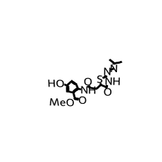 COC(=O)c1cc(O)ccc1NC(=O)CC1S/C(=N/N=C(C)C)NC1=O